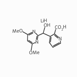 COc1cc(OC)nc(C(O)c2cccnc2C(=O)O)n1.[LiH]